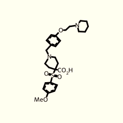 COc1ccc(S(=O)(=O)C2(C(=O)O)CCN(Cc3ccc(OCCN4CCCCC4)cc3)CC2)cc1